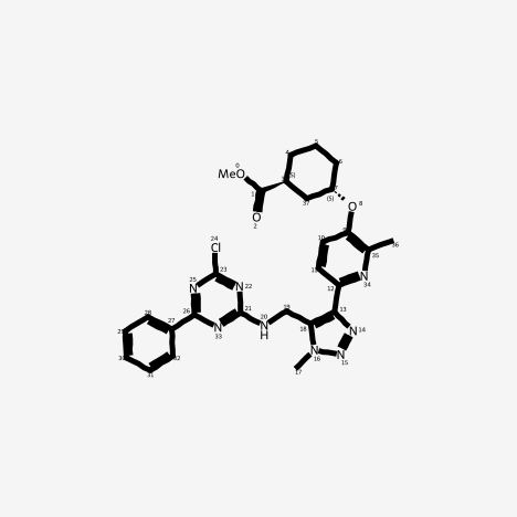 COC(=O)[C@H]1CCC[C@H](Oc2ccc(-c3nnn(C)c3CNc3nc(Cl)nc(-c4ccccc4)n3)nc2C)C1